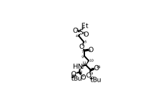 CCS(=O)(=O)CCOC(=O)CC[C@H](NC(=O)OC(C)(C)C)C(=O)OC(C)(C)C